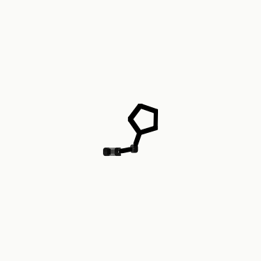 O=COC1CCCC1